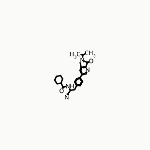 CC(C)N1Cc2cc(-c3ccc(CC(C#N)NC(=O)C4CCCCC4)cc3)cnc2C1=O